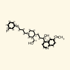 COc1ccc2nccc([C@H](O)CC[C@@H]3CCN(CCCSc4cccc(F)c4)C[C@@H]3CO)c2c1